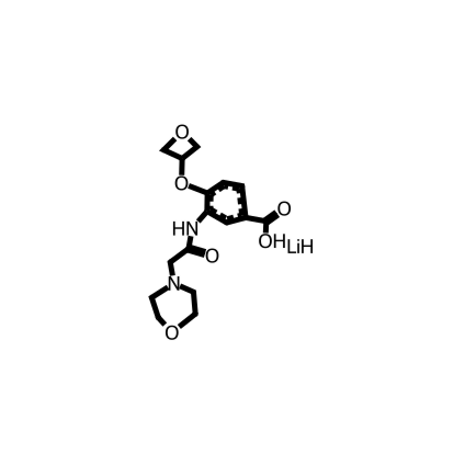 O=C(CN1CCOCC1)Nc1cc(C(=O)O)ccc1OC1COC1.[LiH]